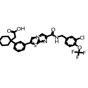 O=C(O)CC1(c2cccc(-c3cn4cc(C(=O)NCc5ccc(OC(F)(F)F)c(Cl)c5)nc4s3)c2)CCCCC1